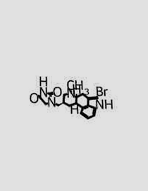 CN1C[C@H](CN2CC(=O)NC2=O)C[C@@H]2c3cccc4[nH]c(Br)c(c34)C[C@H]21